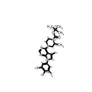 CC1CN(c2ncnc3c2c(I)cn3-c2cc(F)c(F)c(F)c2)CCN1C(=O)OC(C)(C)C